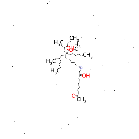 CCCCC(CC)CC(CCCCC/C=C\C[C@H](O)CCCCCCC(C)=O)C(CC(CC)CCCC)(CC(CC)CCCC)C(=O)O